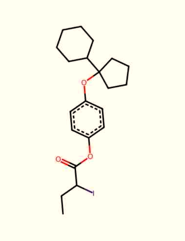 CCC(I)C(=O)Oc1ccc(OC2(C3CCCCC3)CCCC2)cc1